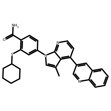 Cc1cn(-c2ccc(C(N)=O)c(SC3CCCCC3)c2)c2nccc(-c3cnc4ccccc4c3)c12